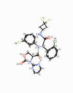 O=C(NC1CC(F)(F)C1)[C@H](c1ccccc1Cl)N(C(=O)[C@@H]1COC(=O)N1c1ncccn1)c1cccc(F)c1